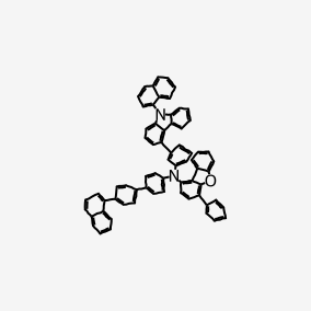 c1ccc(-c2ccc(N(c3ccc(-c4ccc(-c5cccc6ccccc56)cc4)cc3)c3cccc(-c4cccc5c4c4ccccc4n5-c4cccc5ccccc45)c3)c3c2oc2ccccc23)cc1